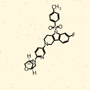 Cc1ccc(S(=O)(=O)n2c3c(c4ccc(F)cc42)CN(c2ccc(N4C[C@@H]5C[C@H]4CO5)nc2)CC3)cc1